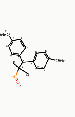 COc1ccc(C(c2ccc(OC)cc2)C(C)(C)P=O)cc1